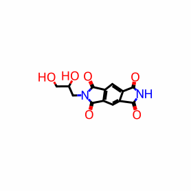 O=c1[nH]c(=O)c2cc3c(=O)n(CC(O)CO)c(=O)c3cc12